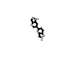 c1nc2cn[nH]c2cc1-c1ccc2n[nH]cc2n1